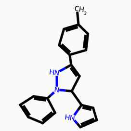 Cc1ccc(C2=CC(c3ccc[nH]3)N(c3ccccc3)N2)cc1